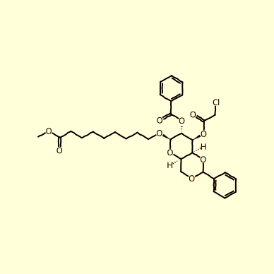 COC(=O)CCCCCCCCO[C@@H]1O[C@@H]2COC(c3ccccc3)O[C@@H]2[C@H](OC(=O)CCl)[C@H]1OC(=O)c1ccccc1